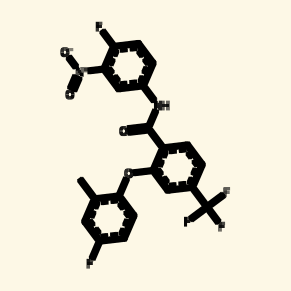 Cc1cc(F)ccc1Oc1cc(C(F)(F)F)ccc1C(=O)Nc1ccc(F)c([N+](=O)[O-])c1